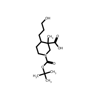 CC(C)(C)OC(=O)N1CCC(CCCO)C(C)(C(=O)O)C1